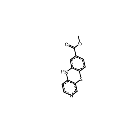 COC(=O)c1ccc2c(c1)Nc1ccncc1S2